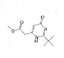 COC(=O)Cc1cc(=O)nc(C(C)(C)C)[nH]1